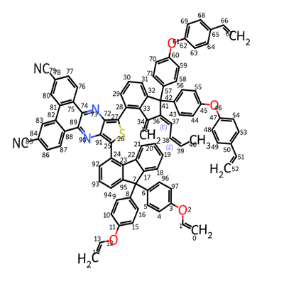 C=COc1ccc(C2(c3ccc(OC=C)cc3)c3ccccc3-c3c(-c4sc(-c5cccc6c5C(=C)/C(=C\C=C/C)C6(c5ccc(Oc6ccc(C=C)cc6)cc5)c5ccc(Oc6ccc(C=C)cc6)cc5)c5nc6c7ccc(C#N)cc7c7cc(C#N)ccc7c6nc45)cccc32)cc1